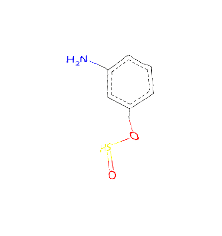 Nc1cccc(O[SH]=O)c1